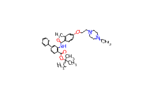 Cc1cc(OCCN2CCN(C)CC2)ccc1C(=O)Nc1cc(-c2ccccc2)ccc1C(=O)OC(C)(C)C